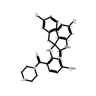 COc1ccc(C(=O)N2CCOCC2)c(NC2(Cc3cccc(Cl)c3)C(=O)Nc3cc(Cl)ccc32)c1